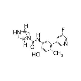 Cc1ccc(NC(=O)N2C[C@@H]3C[C@H]2CN3)cc1-c1cncc(F)c1.Cl